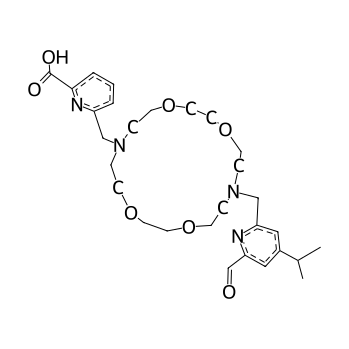 CC(C)c1cc(C=O)nc(CN2CCOCCOCCN(Cc3cccc(C(=O)O)n3)CCOCCOCC2)c1